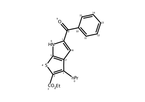 CCCc1c(C(=O)OCC)sc2[nH]c(C(=O)c3ccccc3)cc12